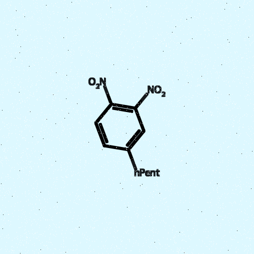 [CH2]CCCCc1ccc([N+](=O)[O-])c([N+](=O)[O-])c1